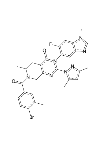 Cc1cc(C)n(-c2nc3c(c(=O)n2-c2cc4ncn(C)c4cc2F)CC(C)N(C(=O)c2ccc(Br)c(C)c2)C3)n1